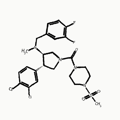 CN(Cc1ccc(F)c(F)c1)[C@H]1CN(C(=O)N2CCN(S(C)(=O)=O)CC2)C[C@@H]1c1ccc(Cl)c(Cl)c1